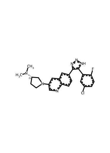 CN(C)[C@H]1CCN(c2cnc3ccc(-c4nn[nH]c4-c4cc(Cl)ccc4F)cc3c2)C1